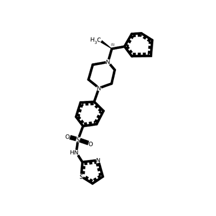 C[C@@H](c1ccccc1)N1CCN(c2ccc(S(=O)(=O)Nc3nccs3)cc2)CC1